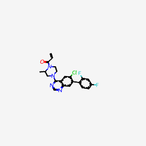 C=CC(=O)N1CCN(c2ncnc3cc(-c4ccc(F)cc4F)c(Cl)cc23)CC1C